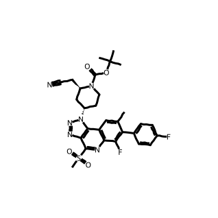 Cc1cc2c(nc(S(C)(=O)=O)c3nnn([C@H]4CCN(C(=O)OC(C)(C)C)[C@H](CC#N)C4)c32)c(F)c1-c1ccc(F)cc1